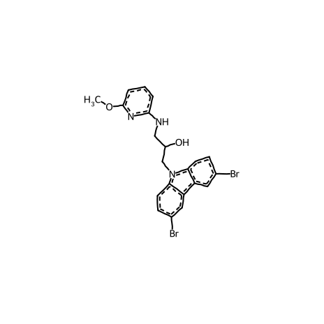 COc1cccc(NCC(O)Cn2c3ccc(Br)cc3c3cc(Br)ccc32)n1